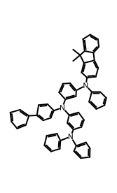 CC1(C)c2ccccc2-c2ccc(N(c3ccccc3)c3cccc(N(c4ccc(-c5ccccc5)cc4)c4cccc(N(c5ccccc5)c5ccccc5)c4)c3)cc21